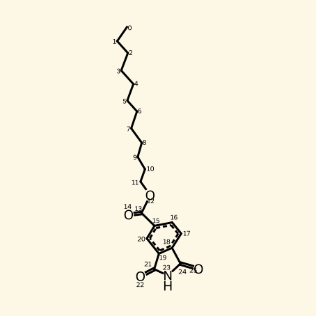 CCCCCCCCCCCCOC(=O)c1ccc2c(c1)C(=O)NC2=O